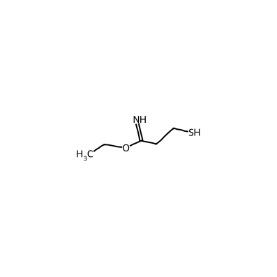 CCOC(=N)CCS